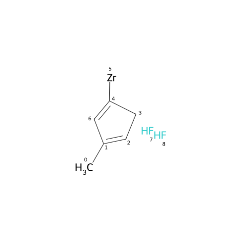 CC1=CC[C]([Zr])=C1.F.F